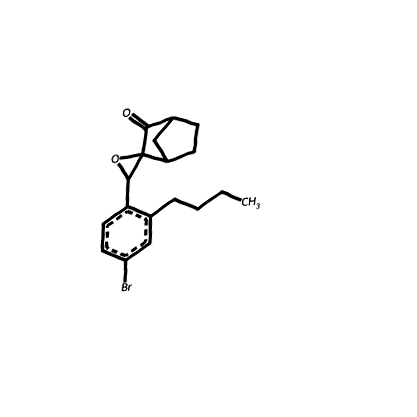 CCCCc1cc(Br)ccc1C1OC12C(=O)C1CCC2C1